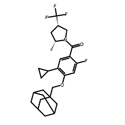 C[C@@H]1C[C@H](C(F)(F)F)CN1C(=O)c1cc(C2CC2)c(OCC23CC4CC(CC(C4)C2)C3)cc1F